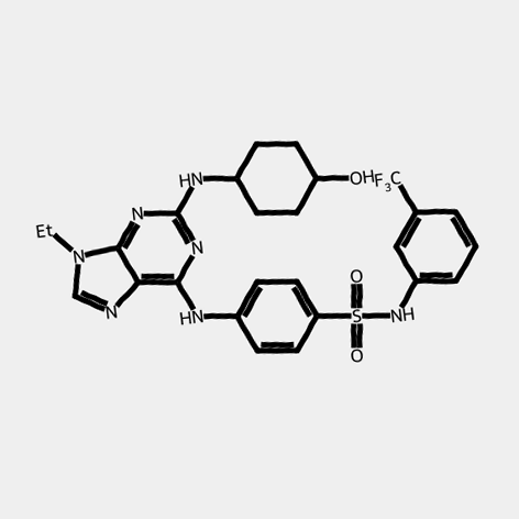 CCn1cnc2c(Nc3ccc(S(=O)(=O)Nc4cccc(C(F)(F)F)c4)cc3)nc(NC3CCC(O)CC3)nc21